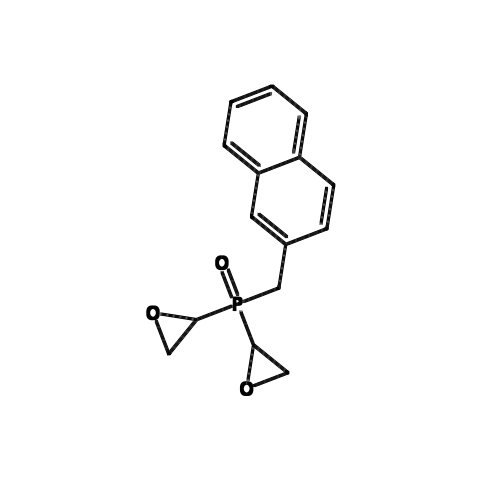 O=P(Cc1ccc2ccccc2c1)(C1CO1)C1CO1